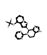 FC(F)(F)Oc1cccn2nc([C@H]3c4nc[nH]c4CCN3c3ncccn3)cc12